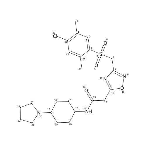 Cc1cc(S(=O)(=O)Cc2noc(CC(=O)NC3CCC(N4CCCC4)CC3)n2)c(C)cc1Cl